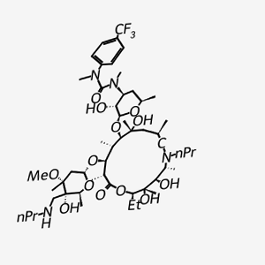 CCCNC[C@]1(O)[C@H](C)O[C@@H](O[C@H]2[C@H](C)[C@@H](O[C@@H]3O[C@H](C)C[C@H](N(C)C(=O)N(C)c4ccc(C(F)(F)F)cc4)[C@H]3O)[C@](C)(O)C[C@@H](C)CN(CCC)[C@H](C)[C@@H](O)[C@](C)(O)[C@@H](CC)OC(=O)[C@@H]2C)C[C@@]1(C)OC